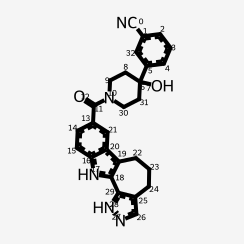 N#Cc1cccc(C2(O)CCN(C(=O)c3ccc4[nH]c5c(c4c3)CCCc3cn[nH]c3-5)CC2)c1